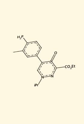 CCOC(=O)c1nn(C(C)C)cc(-c2ccc(P)c(C)c2)c1=O